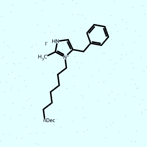 CCCCCCCCCCCCCCCC[n+]1c(Cc2ccccc2)c[nH]c1C.[I-]